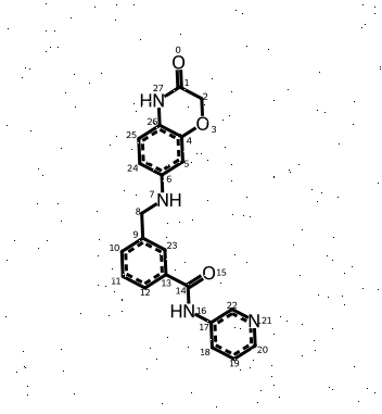 O=C1COc2cc(NCc3cccc(C(=O)Nc4cccnc4)c3)ccc2N1